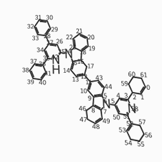 C1=CC(c2cc(-n3c4c(c5cc(C6=CC=C7C(C6)c6ccccc6N7C6C=C(c7ccccc7)C=C(c7ccccc7)N6)ccc53)CCC=C4)cc(C3=CCCCC3)n2)CCC1